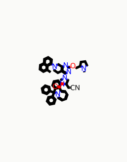 Cc1cccc2cccc(N3CCc4c(nc(OCC5CCCN5C)nc4N4CC(CC#N)N(C(=O)C5=CC=CC=CN5C(c5ccccc5)(c5ccccc5)c5ccccc5)C4)C3)c12